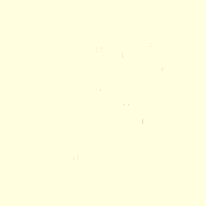 C=CC(COc1ccccc1C)OC(=O)C(OC)(c1ccccc1)C(F)(F)F